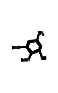 Bc1cc(N=O)c(NC(C)=O)c(OC)c1